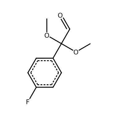 COC(C=O)(OC)c1ccc(F)cc1